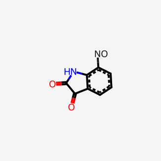 O=Nc1cccc2c1NC(=O)C2=O